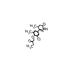 CCC(=O)COc1c(C)cc(C2=NNC(=O)CC2C)cc1Cl